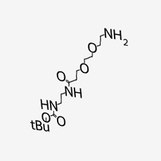 CC(C)(C)OC(=O)NCCNC(=O)CCOCCOCCN